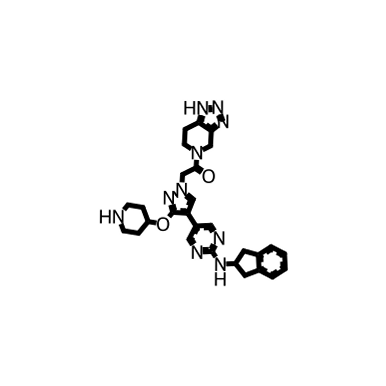 O=C(Cn1cc(-c2cnc(NC3Cc4ccccc4C3)nc2)c(OC2CCNCC2)n1)N1CCc2[nH]nnc2C1